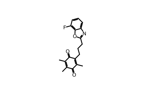 CC1=C(C)C(=O)C(CCCc2nc3cccc(F)c3o2)=C(C)C1=O